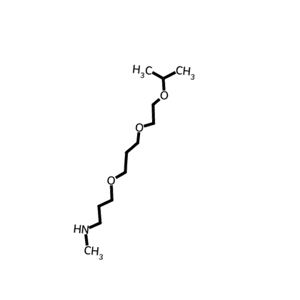 CNCCCOCCCOCCOC(C)C